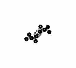 C[Si](C)(c1c(F)c(F)c(N(c2ccccc2)c2ccc3c(c2)c2ccccc2n3-c2ccccc2)c(F)c1F)c1c(F)c(F)c(N(c2ccccc2)c2ccc3c(c2)c2ccccc2n3-c2ccccc2)c(F)c1F